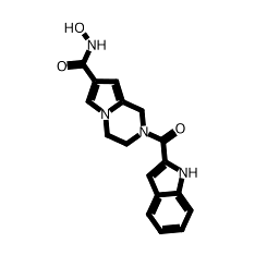 O=C(NO)c1cc2n(c1)CCN(C(=O)c1cc3ccccc3[nH]1)C2